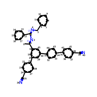 C/C(=N\C(=N/Cc1ccccc1)c1ccccc1)c1cc(-c2ccc(C#N)cc2)cc(-c2ccc(-c3ccc(C#N)cc3)cc2)c1